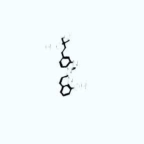 CC1(CCc2ccc3c(c2)ncn3-c2ccc3cccc(O)c3n2)COC1